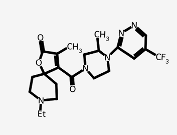 CCN1CCC2(CC1)OC(=O)C(C)=C2C(=O)N1CCN(c2cc(C(F)(F)F)cnn2)C(C)C1